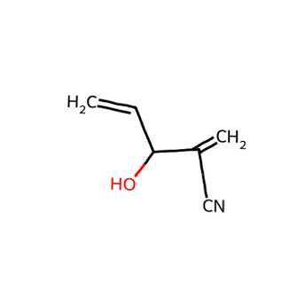 C=CC(O)C(=C)C#N